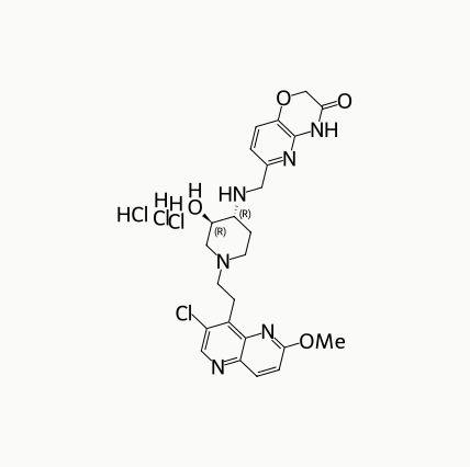 COc1ccc2ncc(Cl)c(CCN3CC[C@@H](NCc4ccc5c(n4)NC(=O)CO5)[C@H](O)C3)c2n1.Cl.Cl.Cl